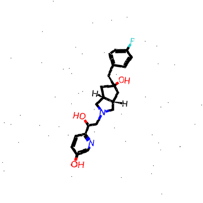 Oc1ccc(C(O)CN2C[C@@H]3CC(O)(Cc4ccc(F)cc4)C[C@@H]3C2)nc1